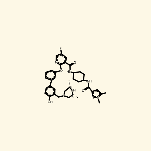 Cc1cc(C(=O)NC2CCC(NC(=O)c3cc(F)cnc3Oc3cccc(-c4ccc(O)c(CN5C[C@@H](C)N[C@@H](C)C5)c4)c3)CC2)nn1C